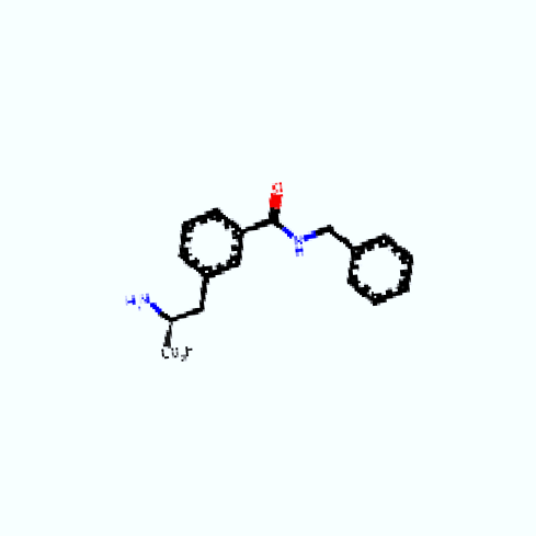 N[C@@H](Cc1cccc(C(=O)NCc2ccccc2)c1)C(=O)O